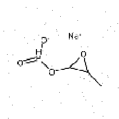 CC1OC1O[PH](=O)[O-].[Na+]